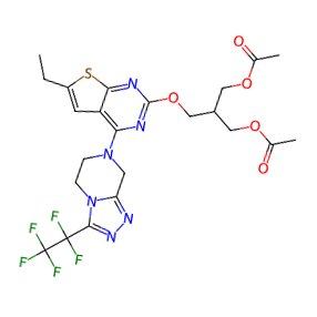 CCc1cc2c(N3CCn4c(nnc4C(F)(F)C(F)(F)F)C3)nc(OCC(COC(C)=O)COC(C)=O)nc2s1